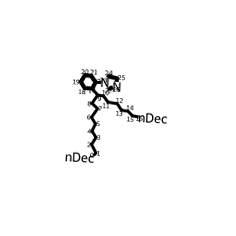 CCCCCCCCCCCCCCCCCCC(CCCCCCCCCCCCCCCC)c1ccccc1-n1ccnc1